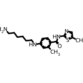 Cc1cnc(NC(=O)c2ccc(NCCCCCCN)cc2C)s1